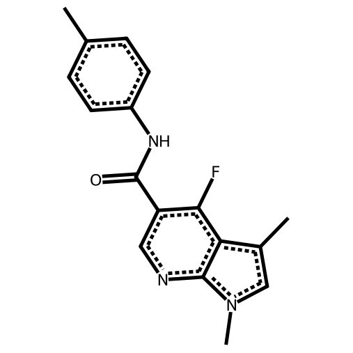 Cc1ccc(NC(=O)c2cnc3c(c(C)cn3C)c2F)cc1